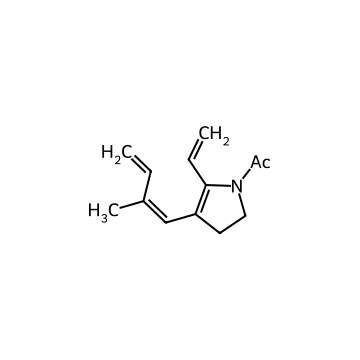 C=CC1=C(/C=C(/C)C=C)CCN1C(C)=O